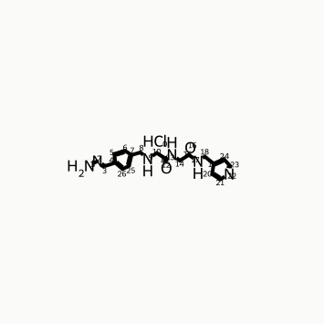 Cl.NN=Cc1ccc(CNCC(=O)NCC(=O)NCc2ccncc2)cc1